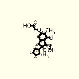 Cc1c(OCC(=O)O)cc2c(c1Cl)C(=NO)C(C)(C1CCCC1)C2